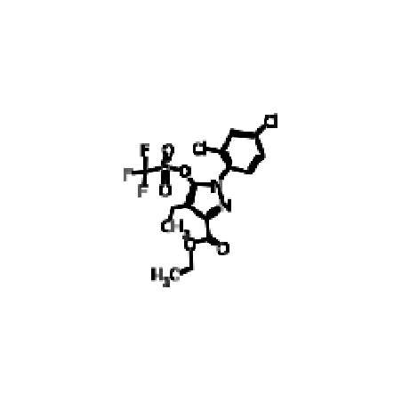 CCOC(=O)c1nn(-c2ccc(Cl)cc2Cl)c(OS(=O)(=O)C(F)(F)F)c1CC